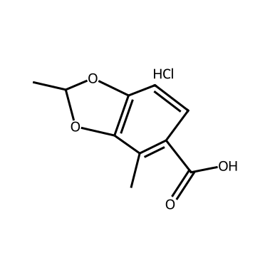 Cc1c(C(=O)O)ccc2c1OC(C)O2.Cl